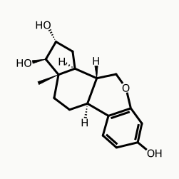 C[C@]12CC[C@@H]3c4ccc(O)cc4OC[C@H]3[C@@H]1C[C@@H](O)[C@@H]2O